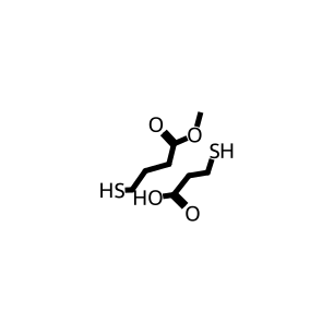 COC(=O)CCCS.O=C(O)CCS